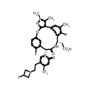 Cc1cc2cc(c1F)[C@H](CC(=O)O)NC(=O)[C@H](n1cc(CCN3CC(F)C3)c(C(F)(F)F)cc1=O)c1cc(ccc1F)Oc1nn(C)c(C)c1-2